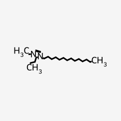 CCCCCCCCCCCCCCN1C=CN(CC)C1CCC